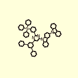 c1ccc(-c2cc(-c3ccccc3)cc(-c3cc(-n4c5ccccc5c5cc(-n6c7ccccc7c7ccccc76)ccc54)nc(-c4cccc(S(c5ccccc5)(c5ccccc5)c5ccccc5)c4)n3)c2)cc1